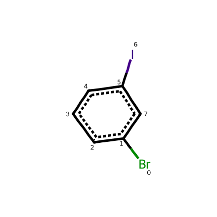 Brc1[c]ccc(I)c1